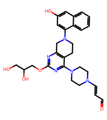 O=CC=CN1CCN(c2nc(OCC(O)CO)nc3c2CCN(c2cc(O)cc4ccccc24)C3)CC1